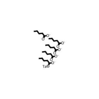 CCCCC(=O)[O-].CCCCC(=O)[O-].CCCCC(=O)[O-].CCCCC(=O)[O-].CCCCC(=O)[O-].[Ta+5]